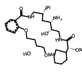 COCCCCOc1ccccc1C(=O)NC[C@@H](C[C@H](N)[C@@H](O)CNC(=O)[C@H](OC)C1CCCCC1)C(C)C.Cl